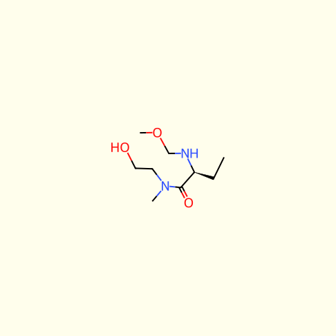 CC[C@H](NCOC)C(=O)N(C)CCO